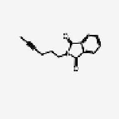 CC#CCCCN1C(=O)c2ccccc2C1=O